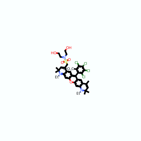 CCOC(=O)c1c(Cl)c(Cl)c(Cl)c(Cl)c1C1=c2cc3c(cc2Oc2cc4c(cc21)C(C)=CC(C)(C)N4CC)=[N+](CC)C(C)(C)C=C3CS(=O)(=O)N(CCO)CCO